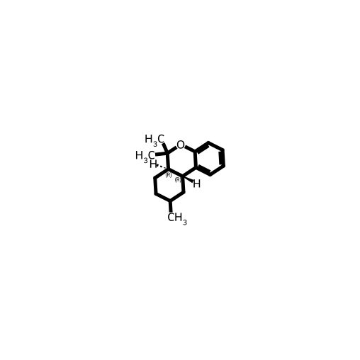 CC1CC[C@@H]2[C@@H](C1)c1ccccc1OC2(C)C